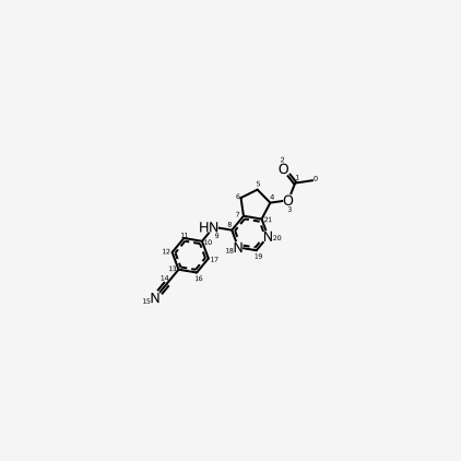 CC(=O)OC1CCc2c(Nc3ccc(C#N)cc3)ncnc21